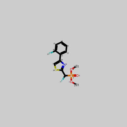 CCOP(=O)(OCC)C(F)c1nc(-c2ccccc2F)cs1